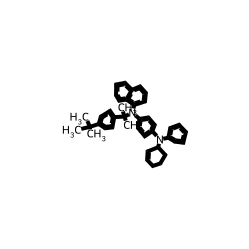 CC(C)(C)c1ccc(C(C)(C)N(c2ccc(N(c3ccccc3)C3C=CCCC3)cc2)c2cccc3ccccc23)cc1